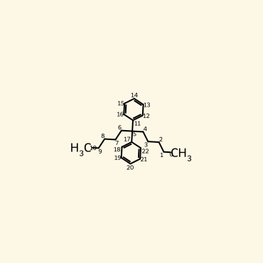 CCCCCC(CCCCC)(c1ccccc1)c1ccccc1